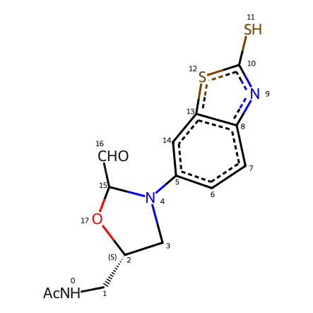 CC(=O)NC[C@H]1CN(c2ccc3nc(S)sc3c2)C(C=O)O1